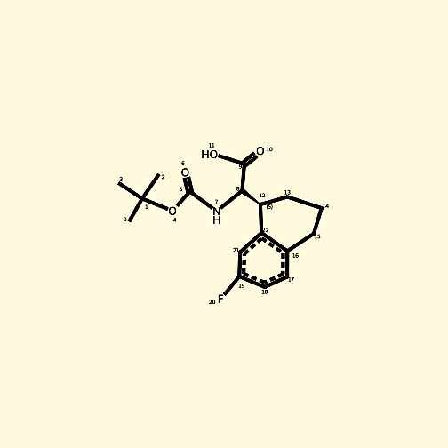 CC(C)(C)OC(=O)NC(C(=O)O)[C@H]1CCCc2ccc(F)cc21